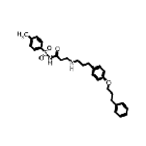 Cc1ccc(S(=O)(=O)NC(=O)CCNCCCc2ccc(OCCCc3ccccc3)cc2)cc1